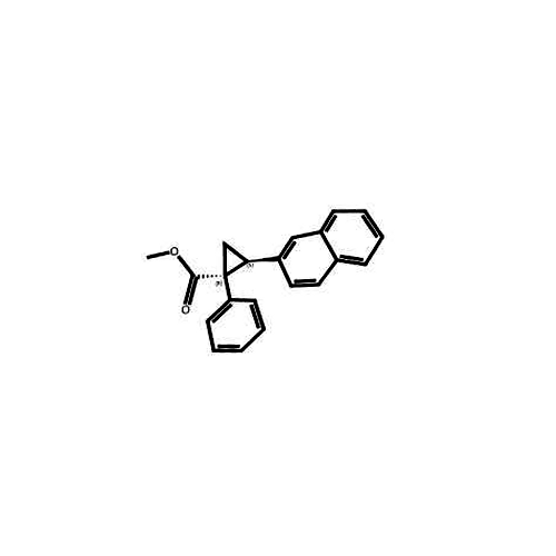 COC(=O)[C@]1(c2ccccc2)C[C@H]1c1ccc2ccccc2c1